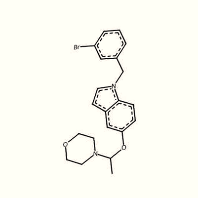 CC(Oc1ccc2c(ccn2Cc2cccc(Br)c2)c1)N1CCOCC1